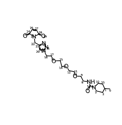 CC1CCN(C(=O)NCCOCCOCCOCCn2cc(CN3C(=O)C=CC3=O)nn2)CC1